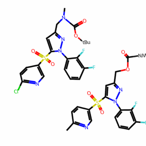 CN(Cc1cc(S(=O)(=O)c2ccc(Cl)nc2)n(-c2cccc(F)c2F)n1)C(=O)OC(C)(C)C.CNC(=O)OCc1cc(S(=O)(=O)c2ccc(C)nc2)n(-c2cccc(F)c2F)n1